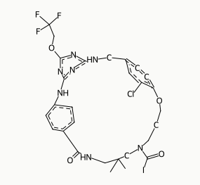 CC1(C)CNC(=O)c2ccc(cc2)Nc2nc(nc(OCC(F)(F)F)n2)NCc2ccc(c(Cl)c2)OCCCN(C(=O)I)C1